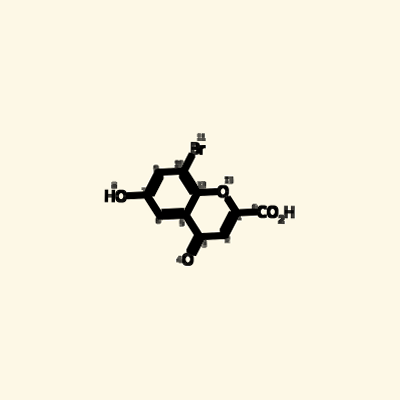 O=C(O)c1cc(=O)c2cc(O)cc(Br)c2o1